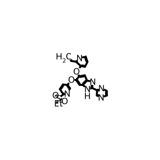 C=Cc1ncccc1Oc1cc2nc(-c3cnccn3)[nH]c2cc1Oc1ccc(S(=O)(=O)CC)nc1